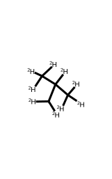 [2H][C]([2H])C([2H])(C([2H])([2H])[2H])C([2H])([2H])[2H]